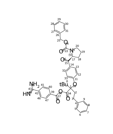 CC(C)(C)C(CCc1ccccc1)(Oc1ccc(C(=O)[C@@H]2CCCN2C(=O)OCc2ccccc2)cc1)C(=O)OC(=O)c1ccc(C(=N)N)cc1